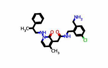 Cc1ccn(NCC(C)c2ccccc2)c(=O)c1CC(=O)NCc1cc(Cl)ccc1CN